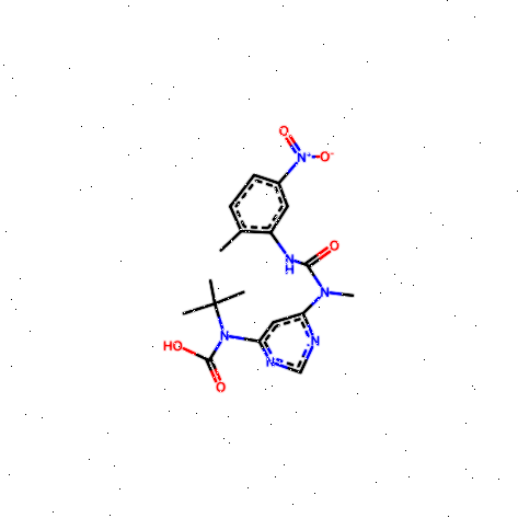 Cc1ccc([N+](=O)[O-])cc1NC(=O)N(C)c1cc(N(C(=O)O)C(C)(C)C)ncn1